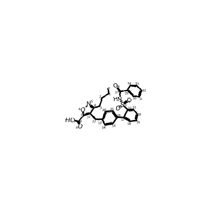 CCCCc1noc(C(=O)O)c1Cc1ccc(-c2ccccc2S(=O)(=O)NC(=O)c2ccccc2)cc1